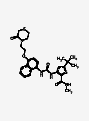 CNC(=O)c1sc(C(C)(C)C)cc1NC(=O)Nc1ccc(OCCN2CCSCC2=O)c2ccccc12